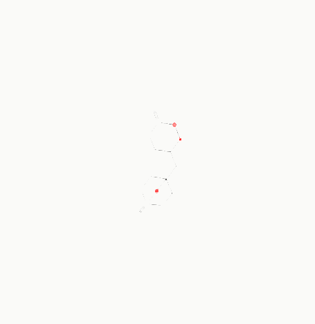 O=P12OCC([CH]C34COP(=O)(OC3)OC4)(CO1)CO2